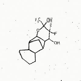 OC1C2C3CC(C4CCCCC43)C2OC(O)(C(F)(F)F)C1(F)F